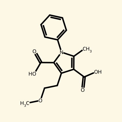 COCCc1c(C(=O)O)c(C)n(-c2ccccc2)c1C(=O)O